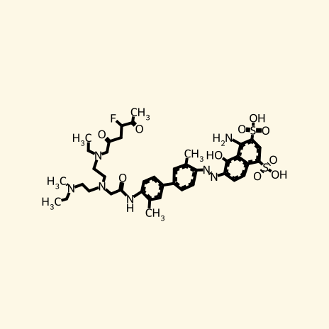 CCN(C)CCN(CCN(CC)CC(=O)CC(F)C(C)=O)CC(=O)Nc1ccc(-c2ccc(N=Nc3ccc4c(S(=O)(=O)O)cc(S(=O)(=O)O)c(N)c4c3O)c(C)c2)cc1C